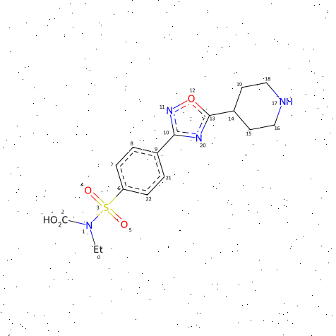 CCN(C(=O)O)S(=O)(=O)c1ccc(-c2noc(C3CCNCC3)n2)cc1